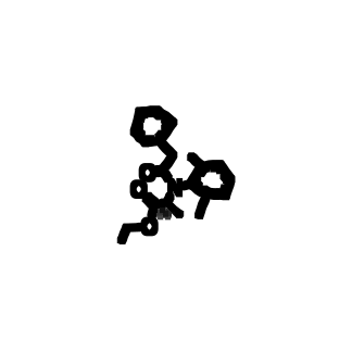 CCOC(=O)[C@H](C)N(C(=O)Cc1ccccc1)c1c(C)cccc1C